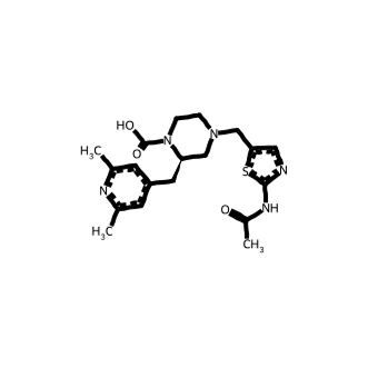 CC(=O)Nc1ncc(CN2CCN(C(=O)O)[C@H](Cc3cc(C)nc(C)c3)C2)s1